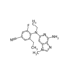 CCc1cc(C#N)cc(F)c1N(CC)c1cc2c(ncn2C)c(N)n1